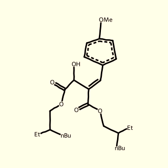 CCCCC(CC)COC(=O)C(=Cc1ccc(OC)cc1)C(O)C(=O)OCC(CC)CCCC